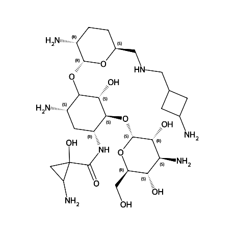 NC1CC(CNC[C@@H]2CC[C@@H](N)[C@@H](OC3[C@@H](N)C[C@@H](NC(=O)C4(O)CC4N)[C@H](O[C@H]4O[C@H](CO)[C@@H](O)[C@H](N)[C@H]4O)[C@H]3O)O2)C1